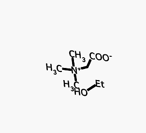 CCO.C[N+](C)(C)CC(=O)[O-]